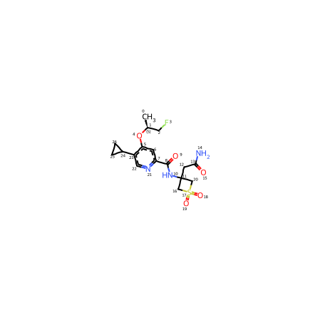 C[C@@H](CF)Oc1cc(C(=O)NC2(CC(N)=O)CS(=O)(=O)C2)ncc1C1CC1